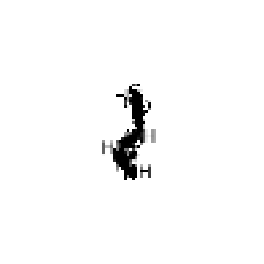 Cc1cc(S(=O)(=O)NCCN2Cc3cc4c(cc3C2)C(=O)N(C2CCC(=O)NC2=O)C4)ccc1Nc1nc2c(OC3CCC3)c(-c3cn[nH]c3)ncn2n1